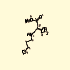 COC(=O)C(C)NCCCCl